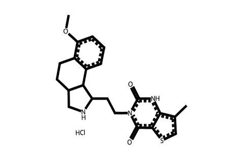 COc1cccc2c1CCC1CNC(CCn3c(=O)[nH]c4c(C)csc4c3=O)C21.Cl